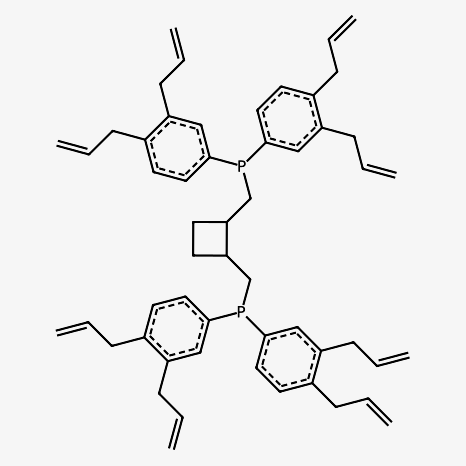 C=CCc1ccc(P(CC2CCC2CP(c2ccc(CC=C)c(CC=C)c2)c2ccc(CC=C)c(CC=C)c2)c2ccc(CC=C)c(CC=C)c2)cc1CC=C